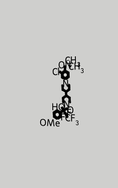 COc1cccc(C(O)(C(=O)N2CCC(C3CCN(c4ccc(C(=O)N(C)C)c(Cl)c4)CC3)CC2)C(F)(F)C(F)(F)F)c1